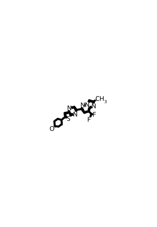 Cc1cn2nc(-c3cnc4cc(C5CCC(=O)CC5)sc4n3)cc(C(F)F)c2n1